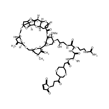 C=C1C[C@@H]2CC[C@@]34CC5OC6C(O[C@H]7CC[C@H](CC(=O)C[C@@H]8[C@@H](OC)[C@@H](C[C@H](O)CNC(=O)[C@H](CCCNC(N)=O)NC(=O)[C@@H](NC(=O)CC9COCC(C(=O)CCN%10C(=O)C=CC%10=O)COC9)C(C)C)CO[C@H]8C[C@H]8O[C@@H](CC[C@@H]1O2)C[C@@H](C)C8=C)O[C@@H]7[C@@H]6O3)[C@H]5O4